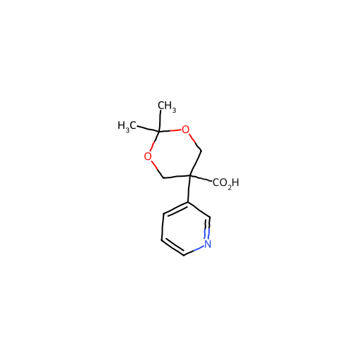 CC1(C)OCC(C(=O)O)(c2cccnc2)CO1